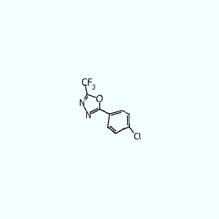 FC(F)(F)c1nnc(-c2ccc(Cl)cc2)o1